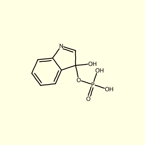 O=P(O)(O)OC1(O)C=Nc2ccccc21